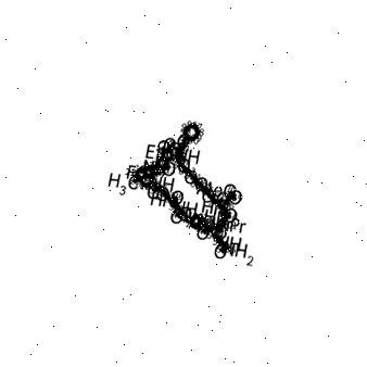 CC[C@@]1(O)C(=O)OCc2c1cc1n(c2=O)Cc2c-1nc1cc(F)c(C)c3c1c2[C@@H](NC(=O)COCNC(=O)CNC(=O)OCc1ccc(NC(=O)[C@H](CCCNC(N)=O)NC(=O)[C@@H](NC(=O)[C@@H](CCC(=O)OC)NC(=O)CCOCCOCCOCCOCCNC(=O)COC2C#CCCCCC2)C(C)C)cc1)CC3